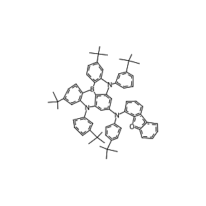 CC(C)(C)c1ccc(N(c2cc3c4c(c2)N(c2cccc(C(C)(C)C)c2)c2cc(C(C)(C)C)ccc2B4c2ccc(C(C)(C)C)cc2N3c2cccc(C(C)(C)C)c2)c2cccc3c2oc2ccccc23)cc1